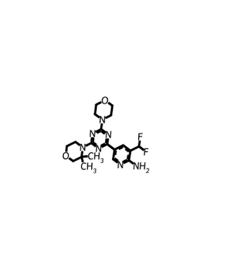 CC1(C)COCCN1c1nc(-c2cnc(N)c(C(F)F)c2)nc(N2CCOCC2)n1